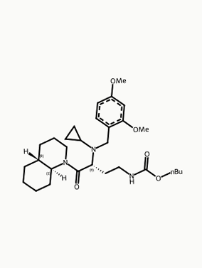 CCCCOC(=O)NCC[C@H](C(=O)N1CCC[C@H]2CCCC[C@@H]21)N(Cc1ccc(OC)cc1OC)C1CC1